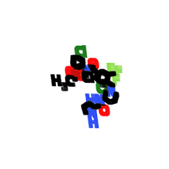 CCS(=O)(=O)c1ccc(Cl)cc1N(C)C(=O)c1cc(Cl)c(CN2CCC[C@H](NC(=O)C3CCCN3)C2)c(C(F)(F)F)c1